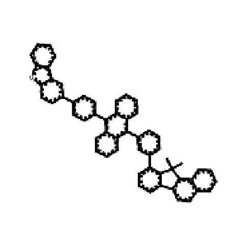 CC1(C)c2c(-c3cccc(-c4c5ccccc5c(-c5ccc(-c6ccc7oc8ccccc8c7c6)cc5)c5ccccc45)c3)cccc2-c2ccc3ccccc3c21